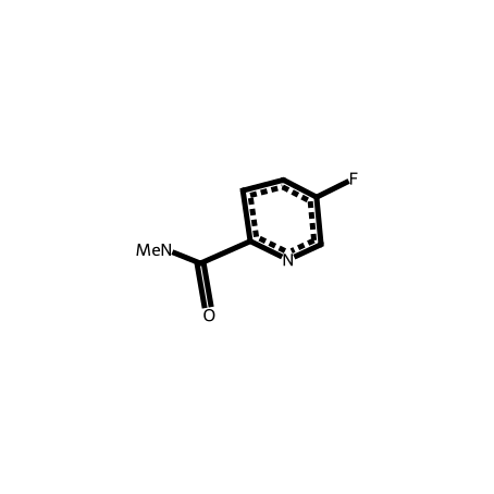 CNC(=O)c1ccc(F)cn1